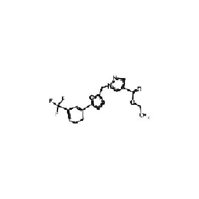 CCOC(=O)c1cnn(Cc2ccc(C3=CC(C(F)(F)F)=CCC3)o2)c1